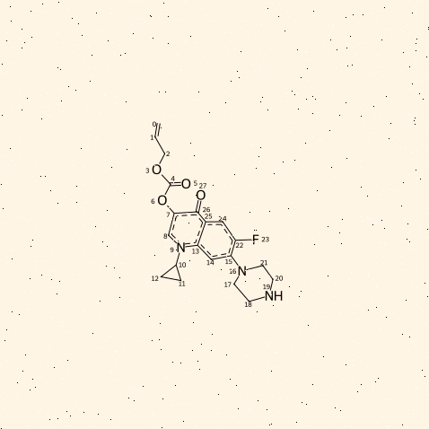 C=CCOC(=O)Oc1cn(C2CC2)c2cc(N3CCNCC3)c(F)cc2c1=O